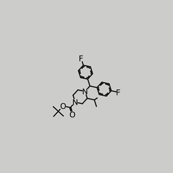 CC(C)C1CN(C(=O)OC(C)(C)C)CCN1C(c1ccc(F)cc1)c1ccc(F)cc1